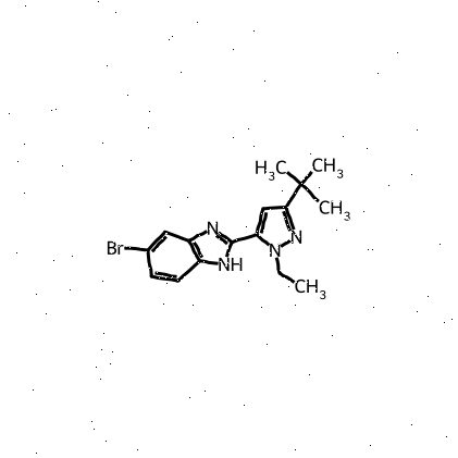 CCn1nc(C(C)(C)C)cc1-c1nc2cc(Br)ccc2[nH]1